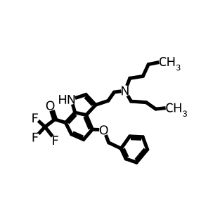 CCCCN(CCCC)CCc1c[nH]c2c(C(=O)C(F)(F)F)ccc(OCc3ccccc3)c12